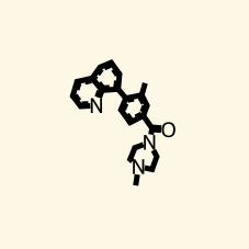 Cc1cc(C(=O)N2CCN(C)CC2)ccc1-c1cccc2cccnc12